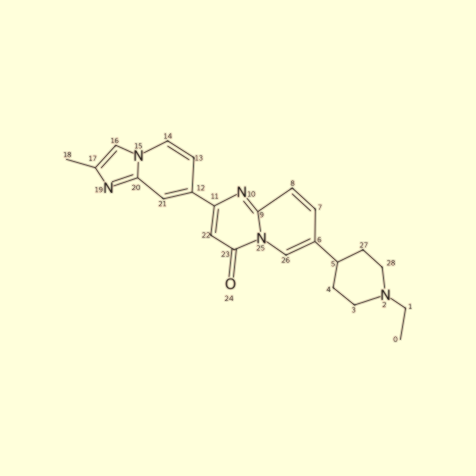 CCN1CCC(c2ccc3nc(-c4ccn5cc(C)nc5c4)cc(=O)n3c2)CC1